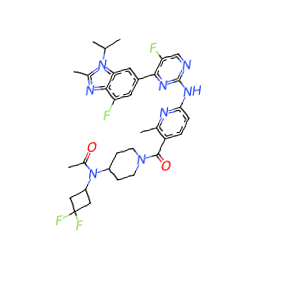 CC(=O)N(C1CCN(C(=O)c2ccc(Nc3ncc(F)c(-c4cc(F)c5nc(C)n(C(C)C)c5c4)n3)nc2C)CC1)C1CC(F)(F)C1